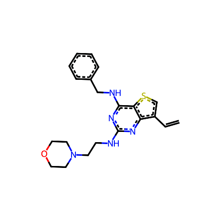 C=Cc1csc2c(NCc3ccccc3)nc(NCCN3CCOCC3)nc12